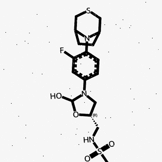 CS(=O)(=O)NC[C@H]1CN(c2ccc(N3C4CCC3CSC4)c(F)c2)C(O)O1